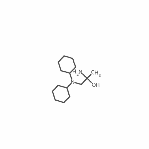 CC(N)(O)CN(C1CCCCC1)C1CCCCC1